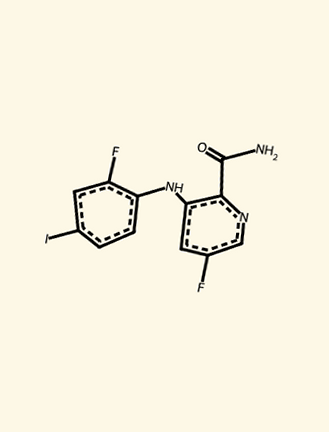 NC(=O)c1ncc(F)cc1Nc1ccc(I)cc1F